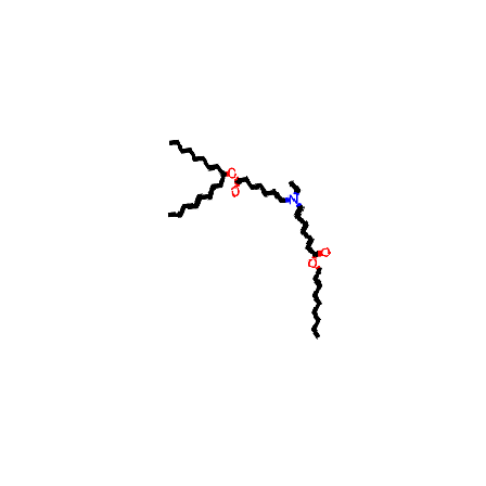 CCCCCCCCCOC(=O)CCCCCCN(CC)CCCCCCC(=O)OC(CCCCCCCC)CCCCCCCC